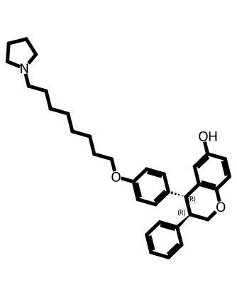 Oc1ccc2c(c1)[C@@H](c1ccc(OCCCCCCCCN3CCCC3)cc1)[C@H](c1ccccc1)CO2